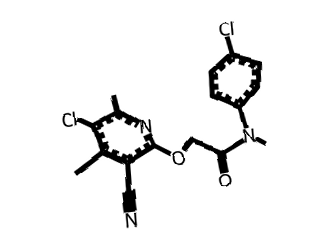 Cc1nc(OCC(=O)N(C)c2ccc(Cl)cc2)c(C#N)c(C)c1Cl